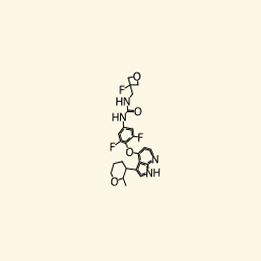 CC1OCCCC1c1c[nH]c2nccc(Oc3c(F)cc(NC(=O)NCC4(F)COC4)cc3F)c12